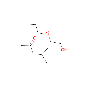 CC(=O)CC(C)C.CCCOCCO